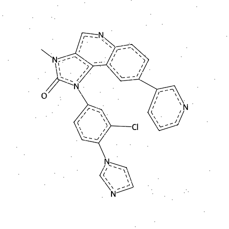 Cn1c(=O)n(-c2ccc(-n3ccnc3)c(Cl)c2)c2c3cc(-c4cccnc4)ccc3ncc21